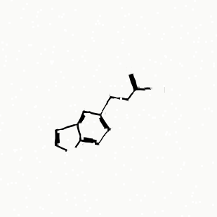 CC(=O)CCc1ccc2sccc2c1